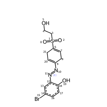 O=S(=O)(CCO)C1=CCC(/N=N/c2cc(Br)ccc2O)=CC1